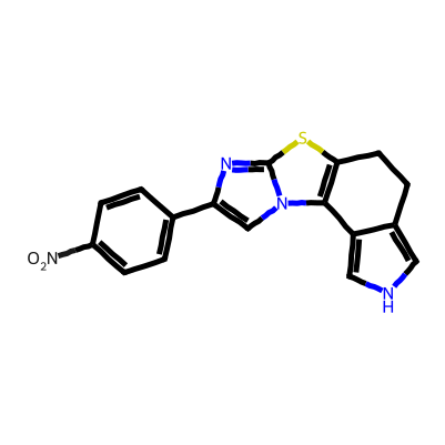 O=[N+]([O-])c1ccc(-c2cn3c4c(sc3n2)CCc2c[nH]cc2-4)cc1